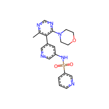 Cc1ncnc(N2CCOCC2)c1-c1cncc(NS(=O)(=O)c2cccnc2)c1